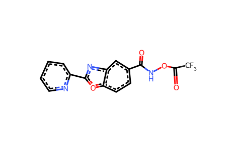 O=C(NOC(=O)C(F)(F)F)c1ccc2oc(-c3ccccn3)nc2c1